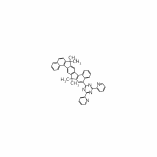 CC1(C)c2cc3c(cc2-c2c1ccc1ccccc21)C(C)(C)c1cc(-c2nc(-c4ccccn4)nc(-c4ccccn4)n2)c2ccccc2c1-3